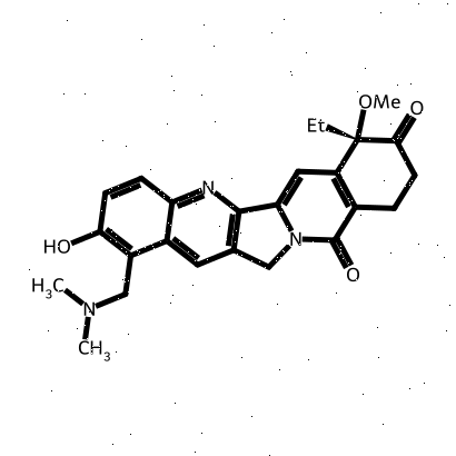 CC[C@@]1(OC)C(=O)CCc2c1cc1n(c2=O)Cc2cc3c(CN(C)C)c(O)ccc3nc2-1